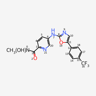 CN(O)C(=O)c1ccc(Nc2ncc(-c3ccc(C(F)(F)F)cc3)o2)cn1